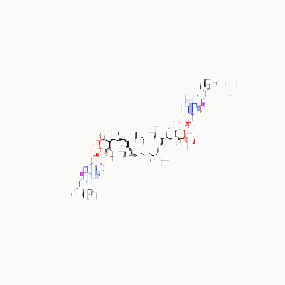 CC(C=CC=C(C)C=CC1=C(C)C(=O)C(OC(=O)CC(CNC(=O)NCC(CC(=O)O)CC(C)C)CC(C)C)CC1(C)C)=CC=CC=C(C)C=CC=C(C)C=CC1=C(C)C(=O)C(OC(=O)CC(CNC(=O)NCC(CC(=O)O)CC(C)C)CC(C)C)CC1(C)C